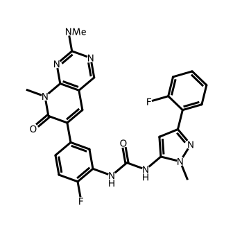 CNc1ncc2cc(-c3ccc(F)c(NC(=O)Nc4cc(-c5ccccc5F)nn4C)c3)c(=O)n(C)c2n1